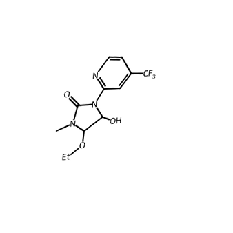 CCOC1C(O)N(c2cc(C(F)(F)F)ccn2)C(=O)N1C